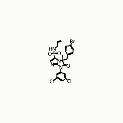 C=CCNS(=O)(=O)c1cnc2n1[C@](C)(Cc1ccc(Br)cc1)C(=O)N2c1cc(Cl)cc(Cl)c1